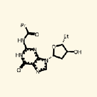 CC[C@H]1O[C@@H](n2cnc3c(=O)[nH]c(NC(=O)C(C)C)nc32)C[C@@H]1O